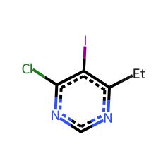 CCc1ncnc(Cl)c1I